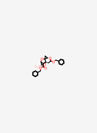 B[C@@H]1O[C@]2(CC(=O)OCc3ccccc3)C(C(=O)OCc3ccccc3)C1OC21CC1